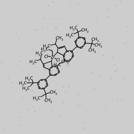 C[CH2][Zr]([Cl])([Cl])([CH]1C(C(C)C)=Cc2c(-c3cc(C(C)(C)C)cc(C(C)(C)C)c3)ccc(C)c21)[CH]1C(C(C)C)=Cc2c(-c3cc(C(C)(C)C)cc(C(C)(C)C)c3)ccc(C)c21